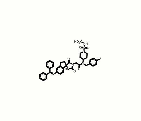 O=C(O)NS(=O)(=O)N1CCC(N(Cc2ccc(F)cc2)C(=O)CN2C(=O)NC3(CCc4cc(N=C(c5ccccc5)c5ccccc5)ccc43)C2=O)CC1